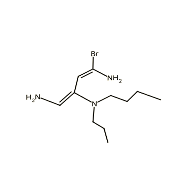 CCCCN(CCC)C(/C=C(\N)Br)=C/N